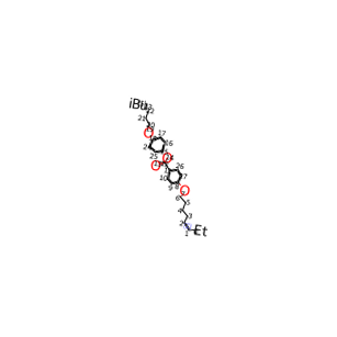 CC/C=C\CCCCOc1ccc(C(=O)Oc2ccc(OCCC[C@@H](C)CC)cc2)cc1